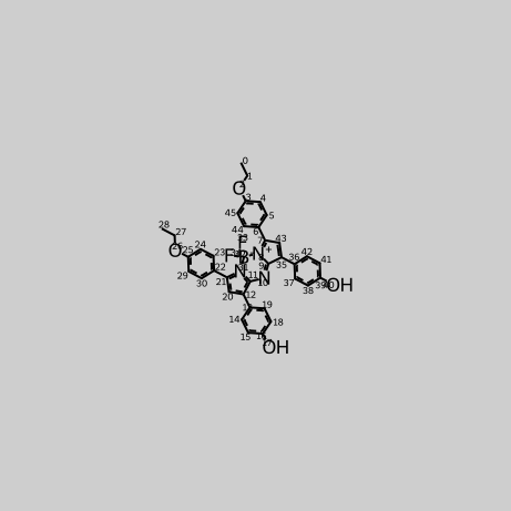 CCOc1ccc(C2=[N+]3C(=Nc4c(-c5ccc(O)cc5)cc(-c5ccc(OCC)cc5)n4[B-]3(F)F)C(c3ccc(O)cc3)=C2)cc1